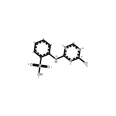 O=S(=O)(O)c1ccccc1Nc1n[c]nc(Cl)n1